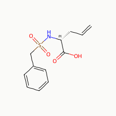 C=CC[C@@H](NS(=O)(=O)Cc1ccccc1)C(=O)O